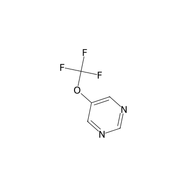 FC(F)(F)Oc1cncnc1